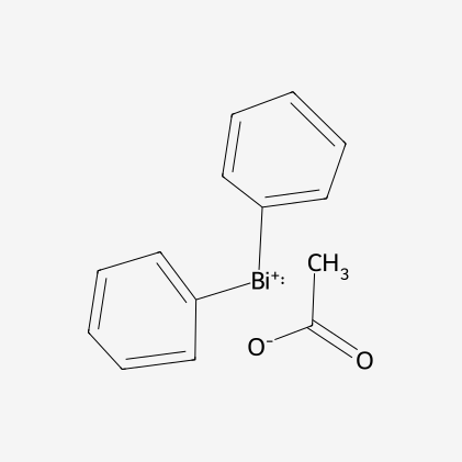 CC(=O)[O-].c1cc[c]([Bi+][c]2ccccc2)cc1